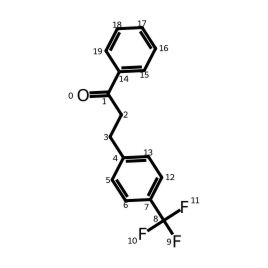 O=C(CCc1ccc(C(F)(F)F)cc1)c1ccccc1